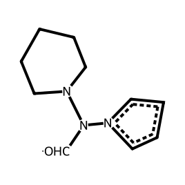 O=[C]N(N1CCCCC1)n1cccc1